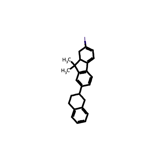 CC1(C)c2cc(C3CCc4ccccc4C3)ccc2C2=CC=C(I)CC21